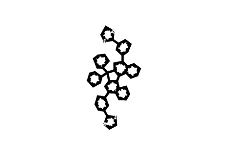 c1ccc(C2(c3ccccc3)c3cc(-c4cccc(-c5nccs5)c4)c4ccccc4c3-c3c2cc(-c2cccc(-c4nccs4)c2)c2ccccc32)cc1